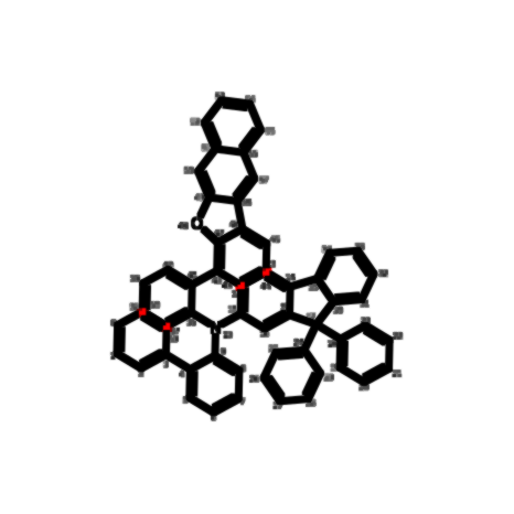 c1ccc(-c2ccccc2N(c2ccc3c(c2)C(c2ccccc2)(c2ccccc2)c2ccccc2-3)c2ccccc2-c2cccc3c2oc2cc4ccccc4cc23)cc1